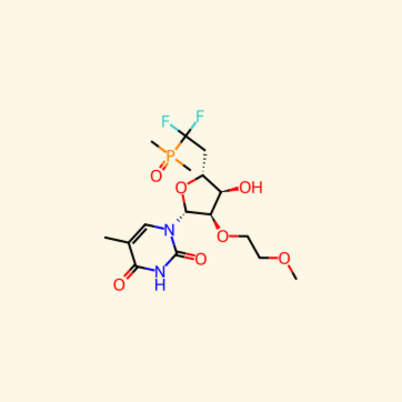 COCCO[C@@H]1[C@H](O)[C@@H](CC(F)(F)P(C)(C)=O)O[C@H]1n1cc(C)c(=O)[nH]c1=O